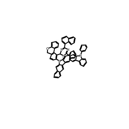 c1ccc(-n2c3ccccc3c3ccc(C4=NC(c5cccc6ccccc56)=NC(c5c(-n6c7cc8ccccc8cc7c7cc8ccccc8cc76)ccc6c5-c5ccccc5OC6)N4)cc32)cc1